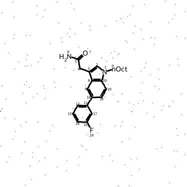 CCCCCCCCn1cc(CC(N)=O)c2cc(-c3cccc(F)c3)ccc21